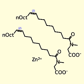 CCCCCCCC/C=C\CCCCCCCC(=O)N(C)CC(=O)[O-].CCCCCCCC/C=C\CCCCCCCC(=O)N(C)CC(=O)[O-].[Zn+2]